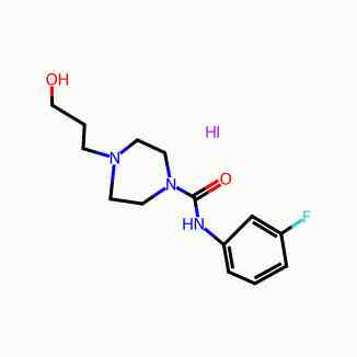 I.O=C(Nc1cccc(F)c1)N1CCN(CCCO)CC1